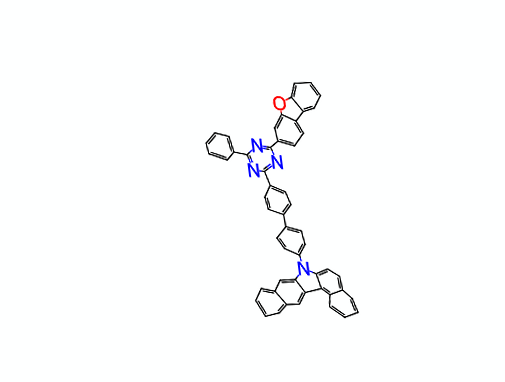 c1ccc(-c2nc(-c3ccc(-c4ccc(-n5c6cc7ccccc7cc6c6c7ccccc7ccc65)cc4)cc3)nc(-c3ccc4c(c3)oc3ccccc34)n2)cc1